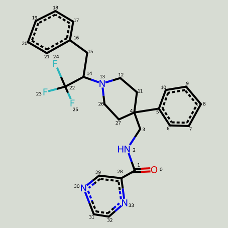 O=C(NCC1(c2ccccc2)CCN(C(Cc2ccccc2)C(F)(F)F)CC1)c1cnccn1